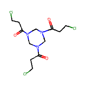 O=C(CCCl)N1CN(C(=O)CCCl)CN(C(=O)CCCl)C1